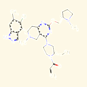 C=CC(=O)N1CCN(c2nc(OC[C@@H]3CCCN3C)nc3c2CN(C)[C@H](c2c(Cl)c(C)cc4[nH]ncc24)C3)C[C@@H]1CC#N